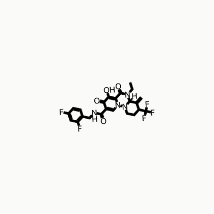 C=C1C(C(F)(F)F)CCN2[C@@H]1N(CC)C(=O)c1c(O)c(=O)c(C(=O)NCc3ccc(F)cc3F)cn12